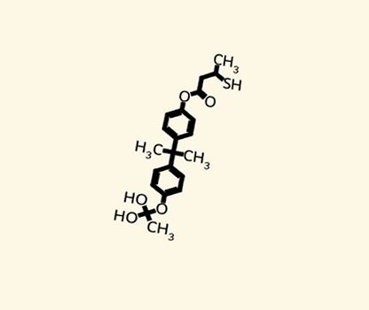 CC(S)CC(=O)Oc1ccc(C(C)(C)c2ccc(OC(C)(O)O)cc2)cc1